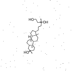 CC12CCC3[C@@H](CCC4C[C@@](C)(O)CC[C@@]43C)C1CCC2CCC[C@@](C)(O)CCO